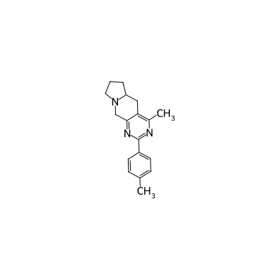 Cc1ccc(-c2nc(C)c3c(n2)CN2CCCC2C3)cc1